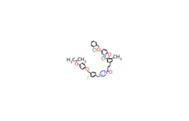 Cc1cc(/C=C/C(=O)N2CCN(Cc3ccc(COc4ccc(OC(C)C)cc4)c(F)c3)CC2)cc(Cl)c1Oc1ccc(OCc2ccccc2Cl)cn1